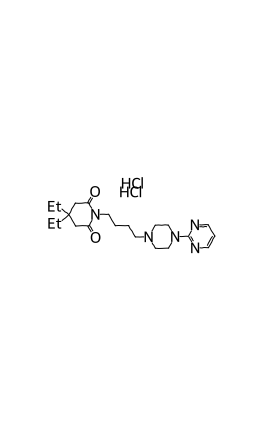 CCC1(CC)CC(=O)N(CCCCN2CCN(c3ncccn3)CC2)C(=O)C1.Cl.Cl